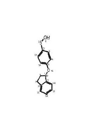 OSc1ccc(O[C@@H]2CCc3ccccc32)cc1